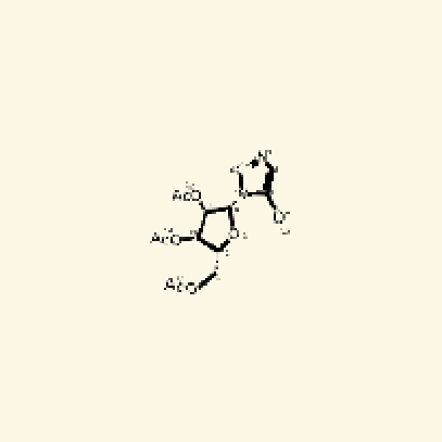 CC(=O)OC[C@H]1O[C@@H](N2[C+]=NC=C2[O-])[C@H](OC(C)=O)[C@@H]1OC(C)=O